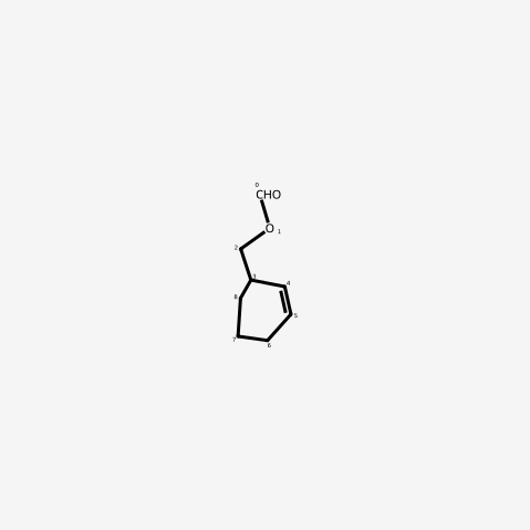 O=COCC1C=CCCC1